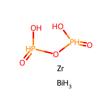 O=[PH](O)O[PH](=O)O.[BiH3].[Zr]